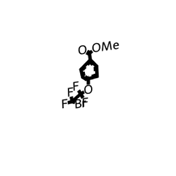 COC(=O)c1ccc(OC(F)(F)C(F)(F)Br)cc1